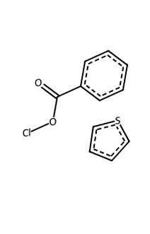 O=C(OCl)c1ccccc1.c1ccsc1